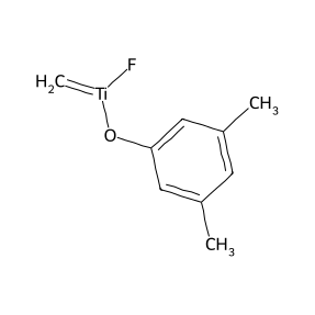 [CH2]=[Ti]([F])[O]c1cc(C)cc(C)c1